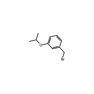 CC(C)Oc1cccc(CBr)c1